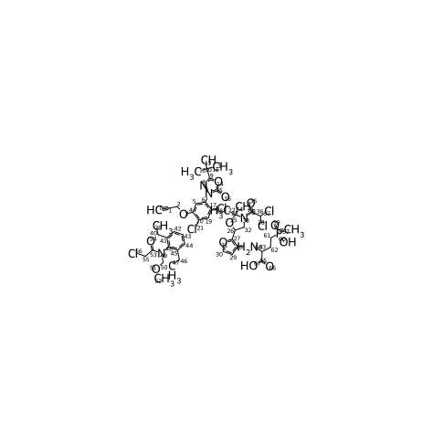 C#CCOc1cc(-n2nc(C(C)(C)C)oc2=O)c(Cl)cc1Cl.CC1(C)OC(c2ccco2)CN1C(=O)C(Cl)Cl.CCc1cccc(CC)c1N(COC)C(=O)CCl.CP(=O)(O)CCC(N)C(=O)O